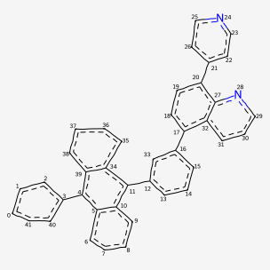 c1ccc(-c2c3ccccc3c(-c3cccc(-c4ccc(-c5ccncc5)c5ncccc45)c3)c3ccccc23)cc1